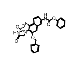 O=C1CN(c2c(OCc3ccccc3)cc3cc(NC(=O)Oc4ccccc4)ccc3c2F)S(=O)(=O)N1